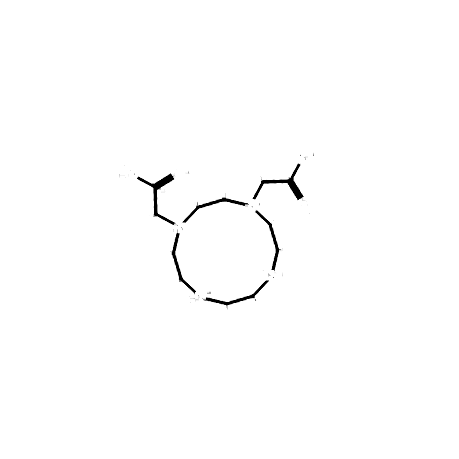 NC(=O)CN1CCNCCNCCN(CC(=O)O)CC1